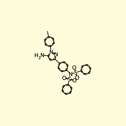 Cc1ccc(-n2nc(-c3ccc(N(S(=O)(=O)c4ccccc4)S(=O)(=O)c4ccccc4)cc3)cc2N)cc1